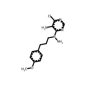 COc1ccc(CCCN(N)c2ncnc(Cl)c2N)cc1